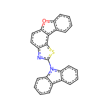 c1ccc2c(c1)oc1ccc3nc(-n4c5ccccc5c5ccccc54)sc3c12